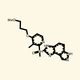 COCCCOc1ccnc([SH](C)(=O)c2nc3c(ccc4[nH]ncc43)[nH]2)c1C